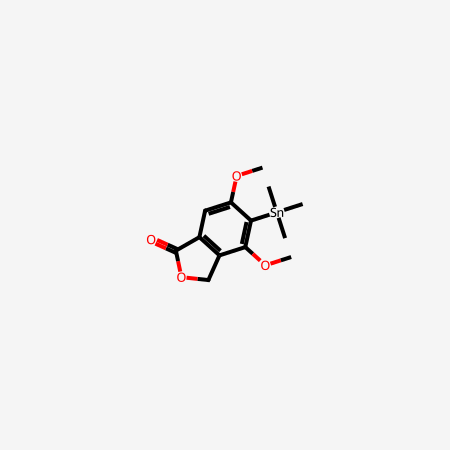 COc1cc2c(c(OC)[c]1[Sn]([CH3])([CH3])[CH3])COC2=O